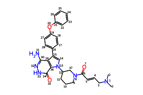 CN(C)CC=CC(=O)N1CCCC(n2cc(-c3ccc(Oc4ccccc4)cc3)c3c(N)n[nH]c(=O)c32)C1